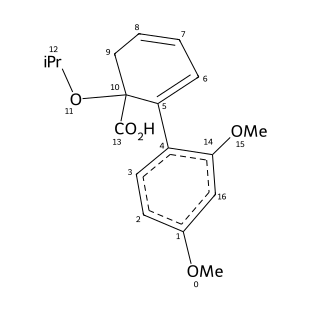 COc1ccc(C2=CC=CCC2(OC(C)C)C(=O)O)c(OC)c1